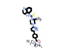 CC(C)C1CN(c2ccc(-c3ccc(C(=O)N(C)C)cc3)nn2)CCN1C(=S)Nc1cccc2ncccc12